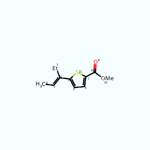 CC=C(CC)c1ccc(C(=O)OC)s1